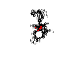 CC[C@H](C)[C@@H]1NC(=O)CNC(=O)C2Cc3c([nH]c4cc(OCc5ccc(NC(=O)[C@@H](C)NC(=O)[C@@H](NC(=O)CCN6C(=O)C=CC6=O)C(C)C)cc5)ccc34)SCC(NC(=O)CNC1=O)C(=O)N[C@@H](CC(N)=O)C(=O)N1CC(O)C[C@H]1C(=O)N[C@@H]([C@@H](C)[C@@H](O)CO)C(=O)N2